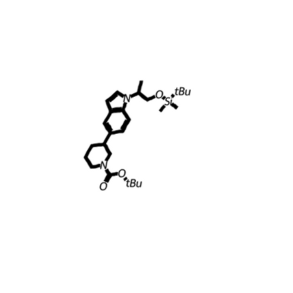 CC(CO[Si](C)(C)C(C)(C)C)n1ccc2cc(C3CCCN(C(=O)OC(C)(C)C)C3)ccc21